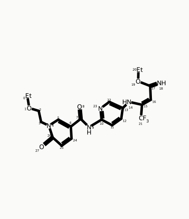 CCOCCn1cc(C(=O)Nc2ccc(N/C(=C\C(=N)OCC)C(F)(F)F)cn2)ccc1=O